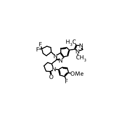 COc1ccc(N2C(=O)CCCC2c2nc3cc(-c4c(C)ncn4C)ccc3n2C2CCC(F)(F)CC2)cc1F